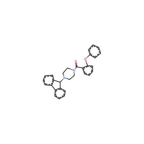 O=C(c1ccccc1Oc1ccccc1)N1CCN(C2c3ccccc3-c3ccccc32)CC1